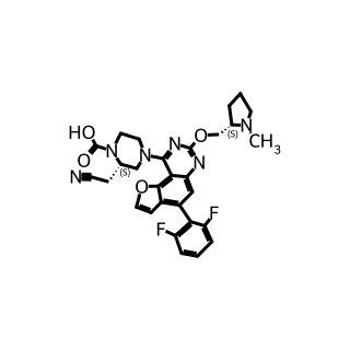 CN1CCC[C@H]1COc1nc(N2CCN(C(=O)O)[C@@H](CC#N)C2)c2c(cc(-c3c(F)cccc3F)c3ccoc32)n1